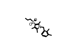 CCCS(=O)(=O)c1c(C)c(C)n(Cc2cccc(C)c2C)c1C